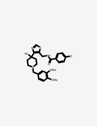 COc1ccc(CN2CCC(C#N)(c3ncsc3CNC(=O)c3ccc(Cl)cc3)CC2)cc1OC